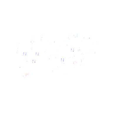 CCn1c(CO)nn(-c2cc3c(cc2F)c(=O)n(-c2c(F)cccc2Cl)c(=O)n3C(C)C)c1=O